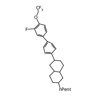 CCCCCC1CCC2CC(c3ccc(-c4ccc(OCC(F)(F)F)c(F)c4)cc3)CCC2C1